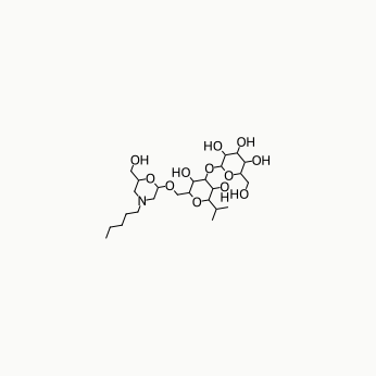 CCCCCN1CC(CO)OC(OCC2OC(C(C)C)C(O)C(OC3OC(CO)C(O)C(O)C3O)C2O)C1